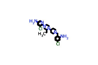 CCC1CN(c2ncc(N)cc2Cl)CCN1C1CCN(Cc2ccc(Cl)cc2N)CC1